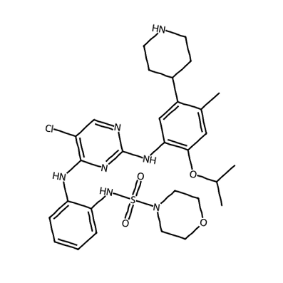 Cc1cc(OC(C)C)c(Nc2ncc(Cl)c(Nc3ccccc3NS(=O)(=O)N3CCOCC3)n2)cc1C1CCNCC1